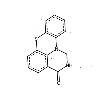 O=C1NCN2c3ccccc3Sc3cccc1c32